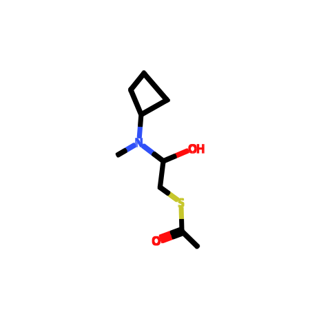 CC(=O)SCC(O)N(C)C1CCC1